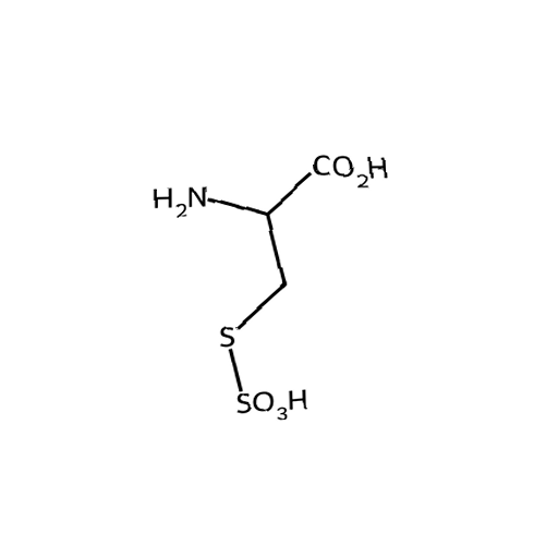 NC(CSS(=O)(=O)O)C(=O)O